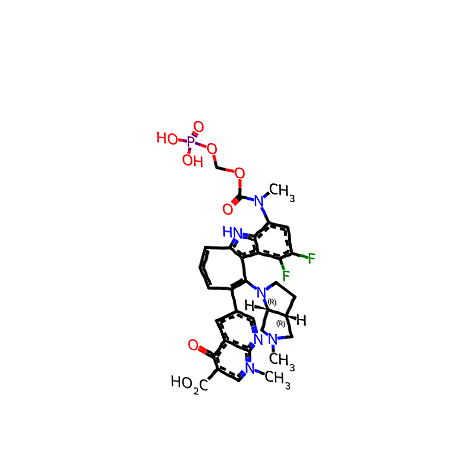 CN1C[C@H]2CCN(C3=C(c4cnc5c(c4)c(=O)c(C(=O)O)cn5C)C=C=Cc4[nH]c5c(N(C)C(=O)OCOP(=O)(O)O)cc(F)c(F)c5c43)[C@H]2C1